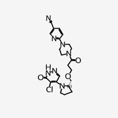 N#Cc1ccc(N2CCN(C(=O)CCOC[C@@H]3CCCN3c3cn[nH]c(=O)c3Cl)CC2)nc1